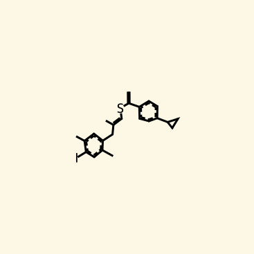 C=C(S/C=C(\C)Cc1cc(C)c(I)cc1C)c1ccc(C2CC2)cc1